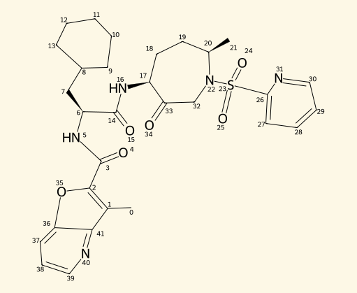 Cc1c(C(=O)N[C@@H](CC2CCCCC2)C(=O)N[C@H]2CC[C@@H](C)N(S(=O)(=O)c3ccccn3)CC2=O)oc2cccnc12